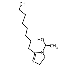 CCCCCCCCC1=NCCN1C(C)O